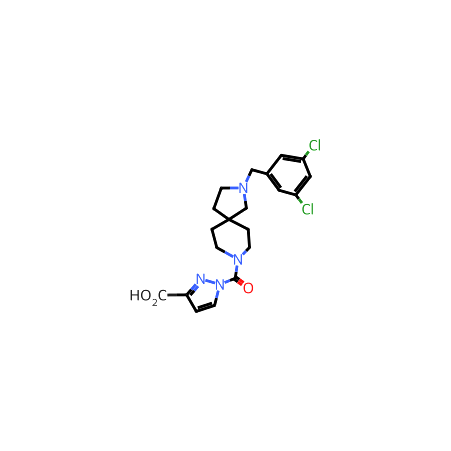 O=C(O)c1ccn(C(=O)N2CCC3(CCN(Cc4cc(Cl)cc(Cl)c4)C3)CC2)n1